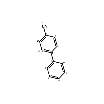 N#Cc1ccc(-c2cc[c]cc2)nc1